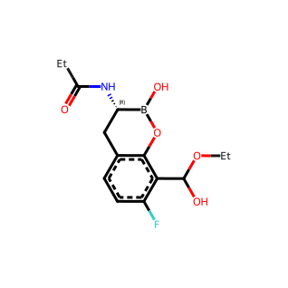 CCOC(O)c1c(F)ccc2c1OB(O)[C@@H](NC(=O)CC)C2